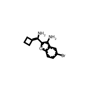 NC(=C1CCC1)c1oc2ccc(Br)cc2c1N